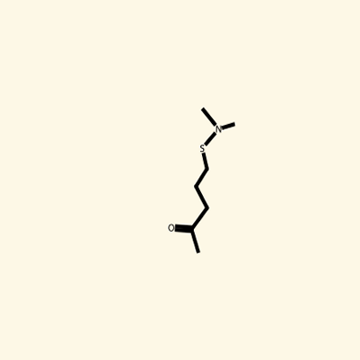 CC(=O)CCCSN(C)C